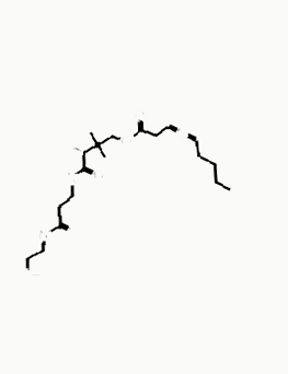 CCCCC=C=CCC(=O)OCC(C)(C)[C@H](O)C(=O)NCCC(=O)NCCS